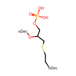 CCCCCCCCCCCCSCC(COP(=O)(O)O)OCCCCCCCCCC